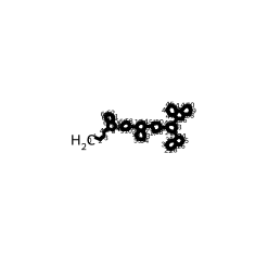 C=C/C=C\C=C1/CN(c2ccc(-c3ccc(-c4ccc(-c5cc(-c6cccc7ccccc67)cc(-c6cc7ccccc7c7ccccc67)c5)cc4)c4ccccc34)cc2)c2ccccc21